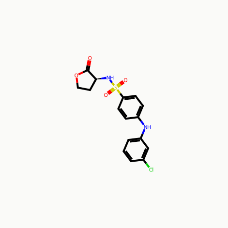 O=C1OCC[C@@H]1NS(=O)(=O)c1ccc(Nc2cccc(Cl)c2)cc1